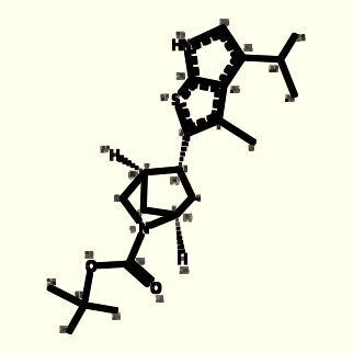 Cc1c([C@@H]2C[C@@H]3C[C@H]2CN3C(=O)OC(C)(C)C)sc2[nH]cc(C(C)C)c12